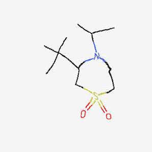 CC(C)N1CCS(=O)(=O)CC1C(C)(C)C